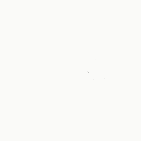 COc1cccc(S(=O)(=O)c2ccc(Oc3nc(O)c4ccncc4n3)cc2)c1